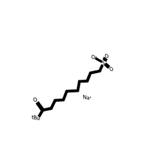 CC(C)(C)C(=O)CCCCCCCCCS(=O)(=O)[O-].[Na+]